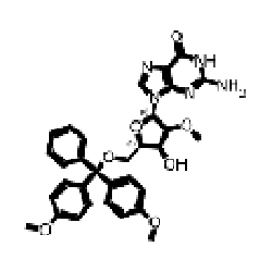 COc1ccc(C(OC[C@H]2O[C@@H](n3cnc4c(=O)[nH]c(N)nc43)C(OC)C2O)(c2ccccc2)c2ccc(OC)cc2)cc1